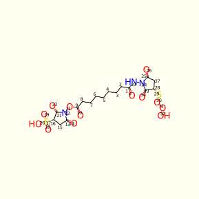 O=C(CCCCCCCC(=O)ON1C(=O)CC(S(=O)(=O)O)C1=O)NN1C(=O)CC(SOOO)C1=O